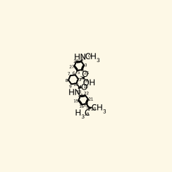 CNc1ccc([C@@H]2CCC[C@H](C(=O)Nc3ccc(C(C)C)cc3)[C@H]2C(=O)O)cc1